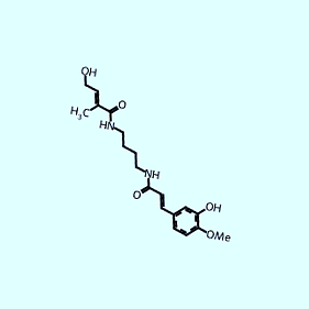 COc1ccc(/C=C/C(=O)NCCCCNC(=O)/C(C)=C/CO)cc1O